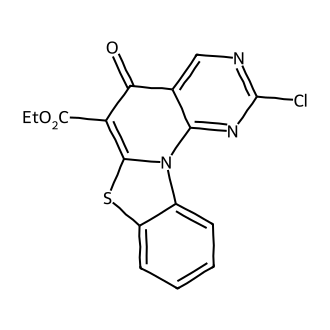 CCOC(=O)c1c(=O)c2cnc(Cl)nc2n2c1sc1ccccc12